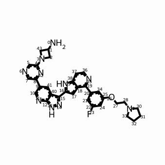 NC1CN(c2cncc(-c3cnc4[nH]nc(-c5cc6c(-c7cc(F)cc(OCCN8CCCC8)c7)nccc6[nH]5)c4c3)n2)C1